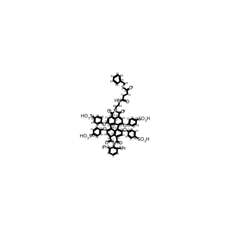 CC(C)c1cccc(C(C)C)c1N1C(=O)c2cc(Oc3ccc(S(=O)(=O)O)cc3)c3c4c(Oc5ccc(S(=O)(=O)O)cc5)cc5c6c(cc(Oc7ccc(S(=O)(=O)O)cc7)c(c7c(Oc8ccc(S(=O)(=O)O)cc8)cc(c2c37)C1=O)c64)C(=O)N(CCNC(=O)CCC(=O)SCc1ccccc1)C5=O